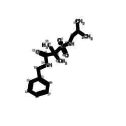 CC(C)CNS(=O)(=O)C(C)(C)C(=O)NCc1ccccc1